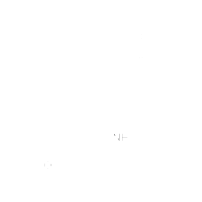 O=C1CCC2C(C1)NCC1C3CCC(=O)C3=CCC21